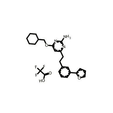 Nc1nc(CCc2cccc(-c3ccco3)c2)cc(OCC2CCCCC2)n1.O=C(O)C(F)(F)F